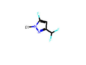 CCn1nc(C(F)F)cc1F